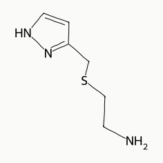 NCCSCc1cc[nH]n1